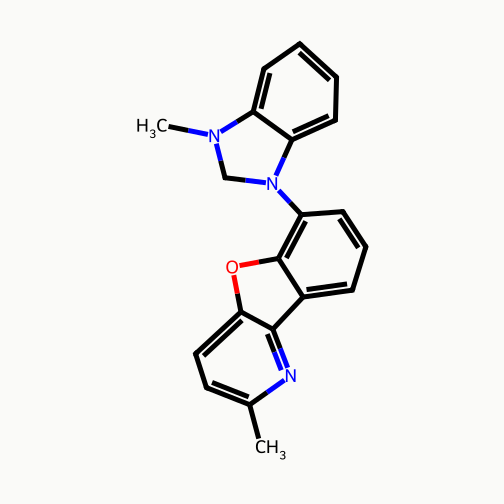 Cc1ccc2oc3c(N4CN(C)c5ccccc54)cccc3c2n1